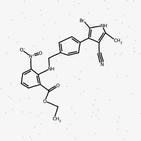 CCOC(=O)c1cccc([N+](=O)[O-])c1NCc1ccc(-c2c(Br)[nH]c(C)c2C#N)cc1